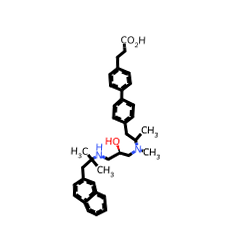 CC(Cc1ccc(-c2ccc(CCC(=O)O)cc2)cc1)N(C)C[C@H](O)CNC(C)(C)Cc1ccc2ccccc2c1